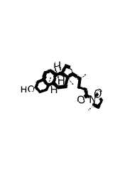 C[C@H](CCC(=O)N1OCC[C@@H]1C)[C@H]1CC[C@H]2[C@@H]3CC=C4C[C@@H](O)CC[C@]4(C)[C@H]3CC[C@]12C